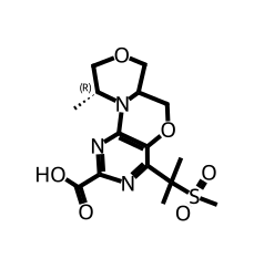 C[C@@H]1COCC2COc3c(nc(C(=O)O)nc3C(C)(C)S(C)(=O)=O)N21